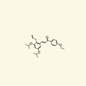 C=CCc1c(/C=C/C(=O)c2ccc(OCC)cc2)cc(OC(C)C)cc1OC(C)C